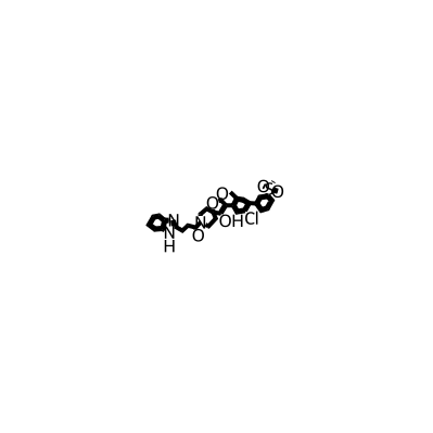 Cc1cc(-c2cccc(S(C)(=O)=O)c2)c(Cl)cc1C1=C(O)C2(CCN(C(=O)CCc3nc4ccccc4[nH]3)CC2)OC1=O